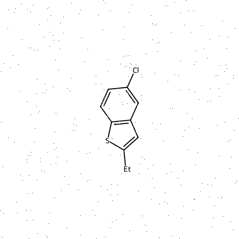 [CH2]Cc1cc2cc(Cl)ccc2s1